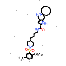 COc1ccc(C)cc1S(=O)(=O)N1CCC(CCCCNC(=O)c2cc3c([nH]2)CC2(CCCCCCCC2)NC3)CC1